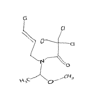 COC(C)N(CC=CCl)C(=O)C(Cl)(Cl)Cl